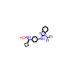 CCC(CC)n1c(Nc2ccc(C(NO)=C3CCC3)cc2)nc2ccccc21